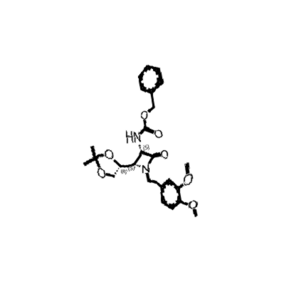 COc1ccc(CN2C(=O)[C@@H](NC(=O)OCc3ccccc3)[C@H]2[C@@H]2COC(C)(C)O2)cc1OC